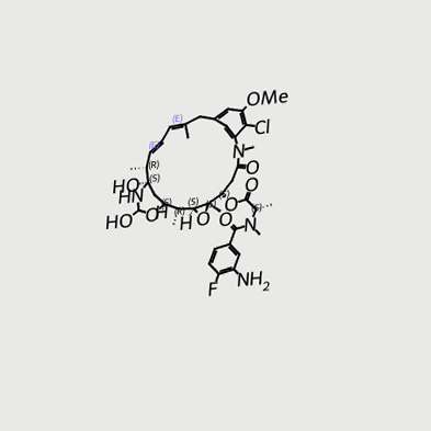 COc1cc2cc(c1Cl)N(C)C(=O)C[C@H](OC(=O)[C@H](C)N(C)C(=O)c1ccc(F)c(N)c1)[C@]1(C)O[C@H]1[C@H](C)[C@@H]1C[C@@](O)(NC(O)O1)[C@H](C)/C=C/C=C(\C)C2